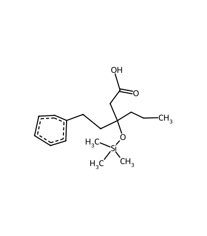 CCCC(CCc1ccccc1)(CC(=O)O)O[Si](C)(C)C